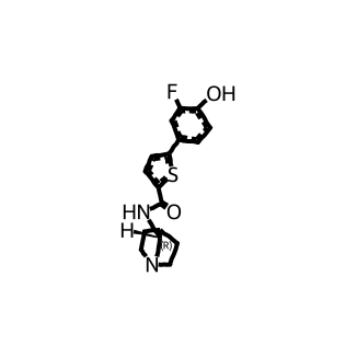 O=C(N[C@H]1CN2CCC1CC2)c1ccc(-c2ccc(O)c(F)c2)s1